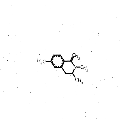 C=C1c2ccc(C)cc2CC(C)N1C